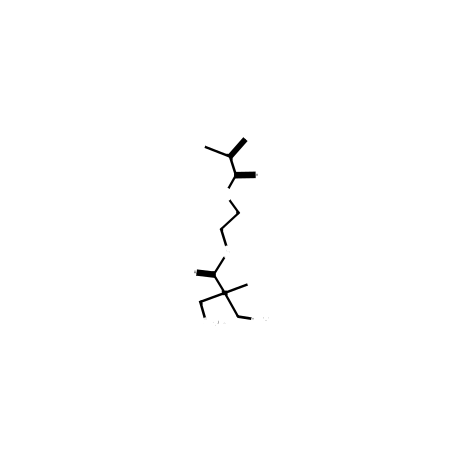 C=C(C)C(=O)OCCNC(=O)C(C)(COC)COC